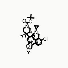 COCCc1ccc(Cl)c(CN(C(=O)[C@H]2CN(C(=O)OC(C)(C)C)CC[C@]2(OC)c2cc[nH]c(=O)c2)C2CC2)c1